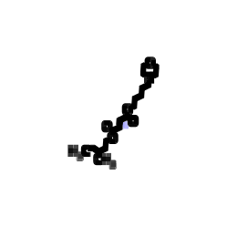 CCC(C)CCOC(=O)/C=C/C(=O)OCCCCCN1CCOCC1